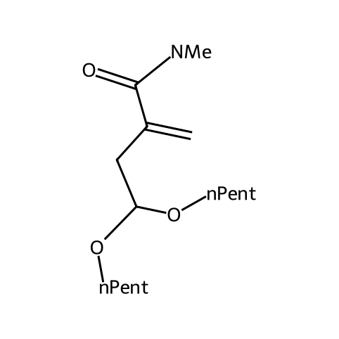 C=C(CC(OCCCCC)OCCCCC)C(=O)NC